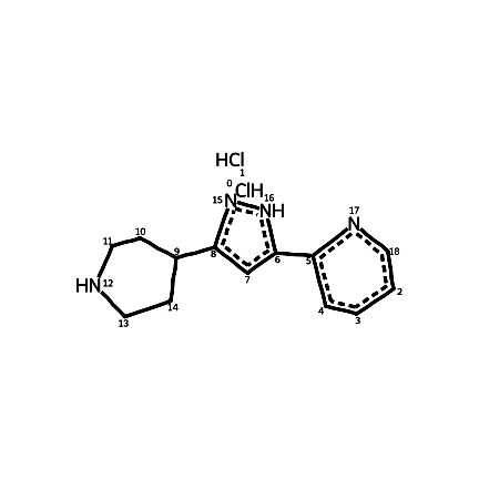 Cl.Cl.c1ccc(-c2cc(C3CCNCC3)n[nH]2)nc1